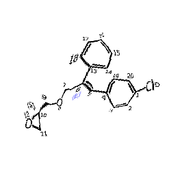 Clc1ccc(/C=C(/COC[C@H]2CO2)c2ccccc2)cc1